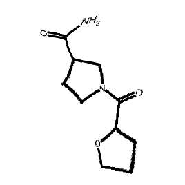 NC(=O)C1CCN(C(=O)C2CCCO2)C1